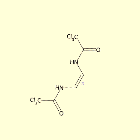 O=C(N/C=C\NC(=O)C(Cl)(Cl)Cl)C(Cl)(Cl)Cl